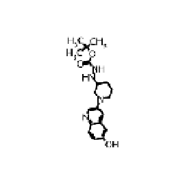 CC(C)(C)OC(=O)NNC1CCCN(c2cnc3ccc(O)cc3c2)C1